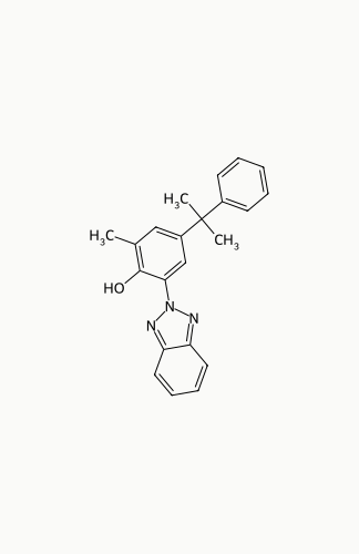 Cc1cc(C(C)(C)c2ccccc2)cc(-n2nc3ccccc3n2)c1O